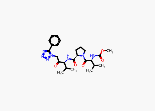 COC(=O)N[C@H](C(=O)N1CCC[C@H]1C(=O)N[C@H](C(=O)Cn1nnnc1-c1ccccc1)C(C)C)C(C)C